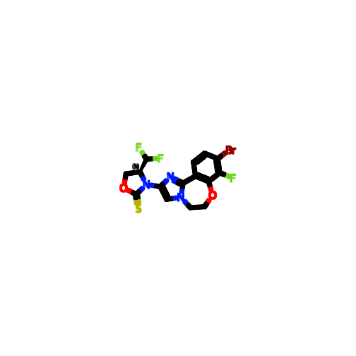 Fc1c(Br)ccc2c1OCCn1cc(N3C(=S)OC[C@H]3C(F)F)nc1-2